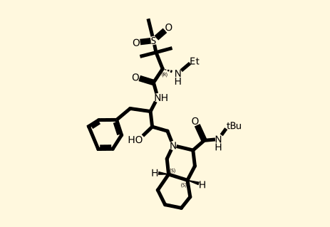 CCN[C@H](C(=O)NC(Cc1ccccc1)C(O)CN1C[C@H]2CCCC[C@H]2CC1C(=O)NC(C)(C)C)C(C)(C)S(C)(=O)=O